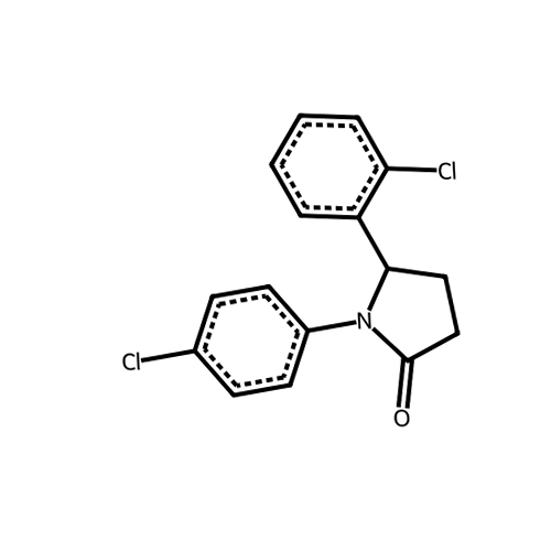 O=C1CCC(c2ccccc2Cl)N1c1ccc(Cl)cc1